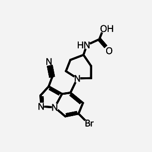 N#Cc1cnn2cc(Br)cc(N3CCC(NC(=O)O)CC3)c12